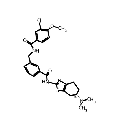 COc1ccc(C(=O)NCc2cccc(C(=O)Nc3nc4c(s3)C[C@@H](N(C)C)CC4)c2)cc1Cl